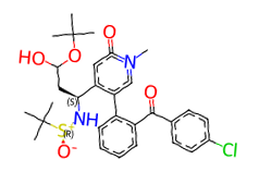 Cn1cc(-c2ccccc2C(=O)c2ccc(Cl)cc2)c([C@H](CC(O)OC(C)(C)C)N[S@@+]([O-])C(C)(C)C)cc1=O